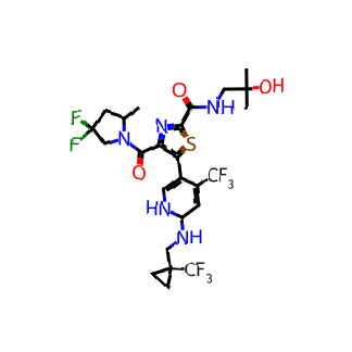 CC1CC(F)(F)CN1C(=O)c1nc(C(=O)NCC(C)(C)O)sc1C1=CNC(NCC2(C(F)(F)F)CC2)C=C1C(F)(F)F